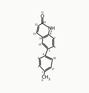 Cc1ccc(-c2ccc3[nH]c(=O)ccc3c2)cc1